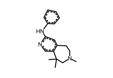 CN1CCc2cc(Nc3ccccc3)ncc2C(C)(C)C1